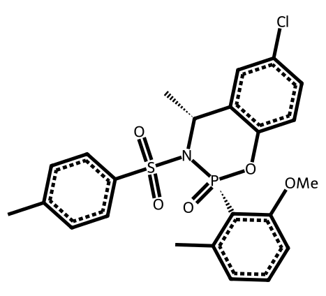 COc1cccc(C)c1[P@@]1(=O)Oc2ccc(Cl)cc2[C@@H](C)N1S(=O)(=O)c1ccc(C)cc1